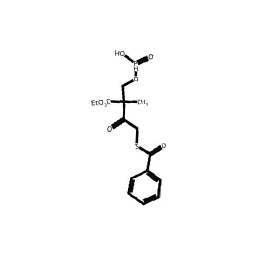 CCOC(=O)C(C)(CO[PH](=O)O)C(=O)CSC(=O)c1ccccc1